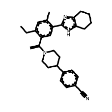 C=C(c1cc(-c2nc3c([nH]2)CCCC3)c(C)cc1CC)N1CCC(c2ccc(C#N)cc2)CC1